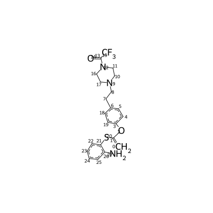 C=C(Oc1ccc(CCN2CCN(C(=O)C(F)(F)F)CC2)cc1)Sc1ccccc1N